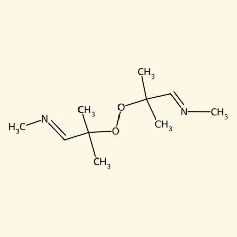 CN=CC(C)(C)OOC(C)(C)C=NC